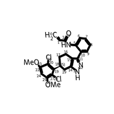 C=CC(=O)Nc1ccccc1-c1n[nH]c2c1CC[C@H](c1c(Cl)c(OC)cc(OC)c1Cl)C2